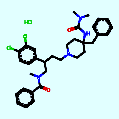 CN(C)C(=O)NC1(Cc2ccccc2)CCN(CCC(CN(C)C(=O)c2ccccc2)c2ccc(Cl)c(Cl)c2)CC1.Cl